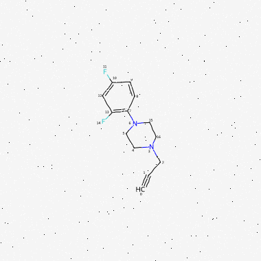 C#CCN1CCN(c2ccc(F)cc2F)CC1